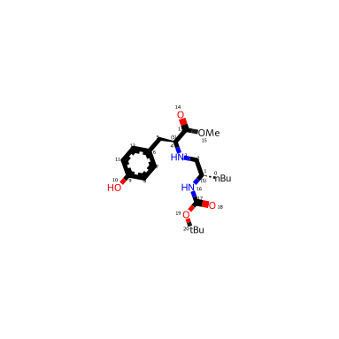 CCCC[C@@H](CN[C@@H](Cc1ccc(O)cc1)C(=O)OC)NC(=O)OC(C)(C)C